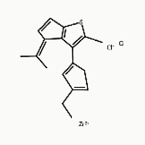 CCC1=CCC(c2c(C)sc3c2C(=C(C)C)C=C3)=C1.[Cl-].[Cl-].[Zr+2]